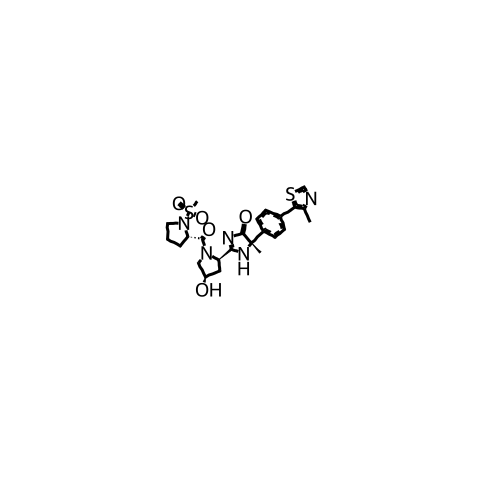 Cc1ncsc1-c1ccc([C@]2(C)NC([C@H]3C[C@@H](O)CN3C(=O)[C@@H]3CCCN3S(C)(=O)=O)=NC2=O)cc1